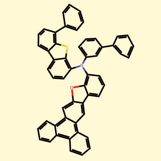 c1ccc(-c2cccc(N(c3cccc4c3oc3cc5c6ccccc6c6ccccc6c5cc34)c3cccc4c3sc3c(-c5ccccc5)cccc34)c2)cc1